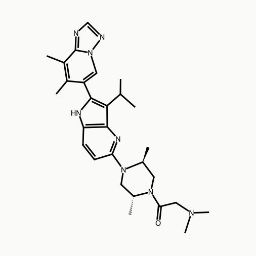 Cc1c(-c2[nH]c3ccc(N4C[C@@H](C)N(C(=O)CN(C)C)C[C@@H]4C)nc3c2C(C)C)cn2ncnc2c1C